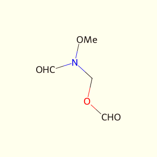 CON(C=O)COC=O